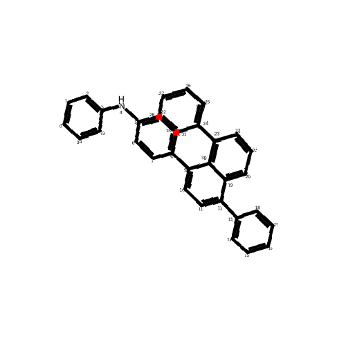 c1ccc(Nc2ccc(-c3ccc(-c4ccccc4)c4cccc(-c5ccccc5)c34)cc2)cc1